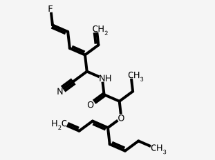 C=C/C=C(\C=C/CC)OC(CC)C(=O)NC(C#N)/C(C=C)=C/C=C/F